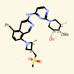 CO[C@@H]1[C@H](O)CN(c2nccc(Nc3cc4c(C(C)C)ccc(N5C[C@H](CS(C)(=O)=O)[C@H]5C)c4cn3)n2)C[C@@H]1F